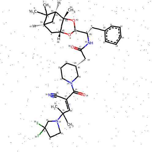 CC1(C)[C@@H]2C[C@H]3OB([C@H](Cc4ccccc4)NC(=O)C[C@H]4CCCN(C(=O)/C(C#N)=C/C(C)(C)N5CCC(F)(F)C5)C4)O[C@@]3(C)[C@H]1C2